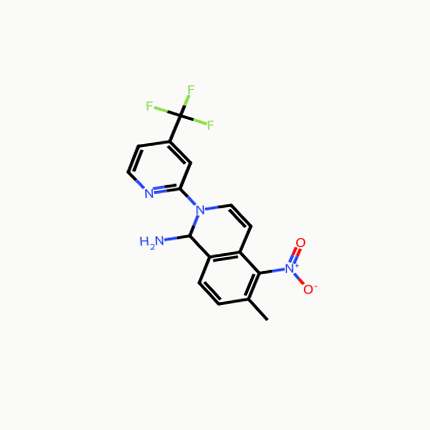 Cc1ccc2c(c1[N+](=O)[O-])C=CN(c1cc(C(F)(F)F)ccn1)C2N